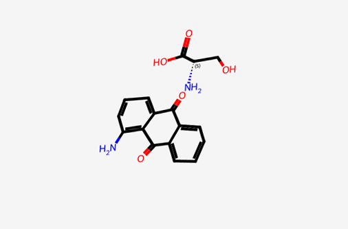 N[C@@H](CO)C(=O)O.Nc1cccc2c1C(=O)c1ccccc1C2=O